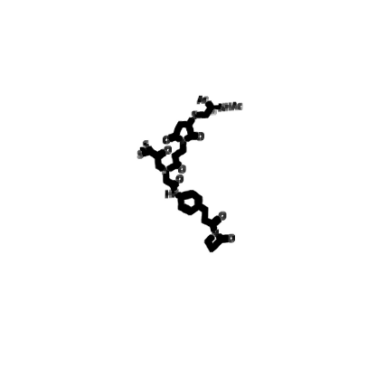 CC(=O)N[C@@H](CSC1CC(=O)N(CCC(=O)N(CC(=O)Nc2ccc(CCC(=O)N3CCC3=O)cc2)CC(=O)C2SS2)C1=O)C(C)=O